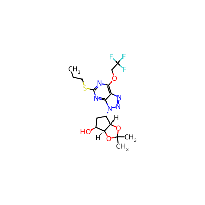 CCCSc1nc(OCC(F)(F)F)c2nnn([C@H]3C[C@H](O)[C@@H]4OC(C)(C)O[C@H]43)c2n1